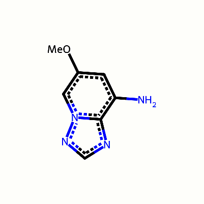 COc1cc(N)c2ncnn2c1